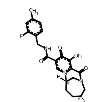 Cc1ccc(CNC(=O)c2cn3c(c(O)c2=O)C(=O)N2C[C@H](F)CC[C@H]3C2)c(F)c1